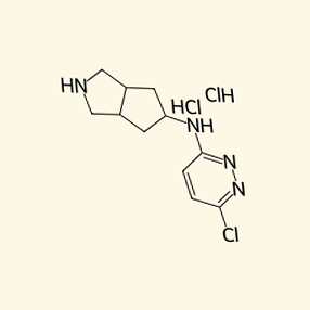 Cl.Cl.Clc1ccc(NC2CC3CNCC3C2)nn1